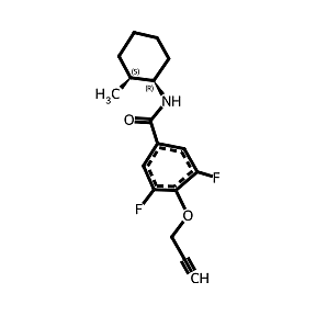 C#CCOc1c(F)cc(C(=O)N[C@@H]2CCCC[C@@H]2C)cc1F